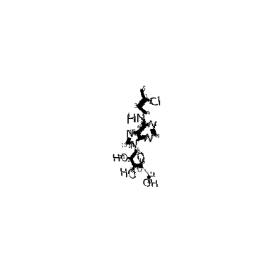 C/C(Cl)=C/CNc1ncnc2c1ncn2[C@@H]1O[C@H](CO)[C@@H](O)[C@H]1O